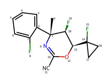 C[C@]1(c2ccccc2F)N=C(C#N)O[C@H](C2(F)CC2)[C@@H]1F